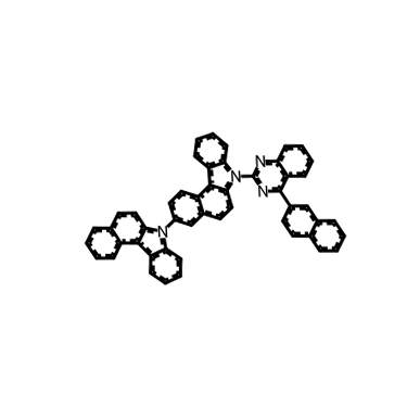 c1ccc2cc(-c3nc(-n4c5ccccc5c5c6ccc(-n7c8ccccc8c8c9ccccc9ccc87)cc6ccc54)nc4ccccc34)ccc2c1